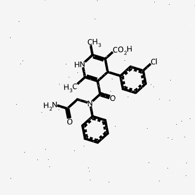 CC1=C(C(=O)O)C(c2cccc(Cl)c2)C(C(=O)N(CC(N)=O)c2ccccc2)=C(C)N1